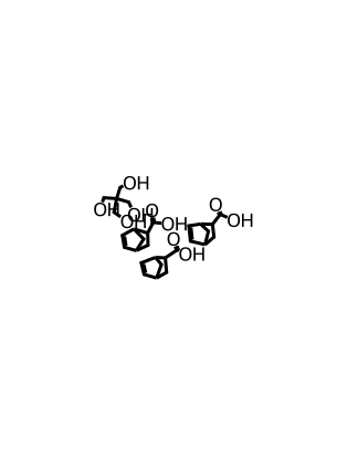 O=C(O)C1CC2C=CC1C2.O=C(O)C1CC2C=CC1C2.O=C(O)C1CC2C=CC1C2.OCC(CO)(CO)CO